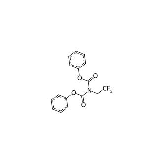 O=C(Oc1ccccc1)N(CC(F)(F)F)C(=O)Oc1ccccc1